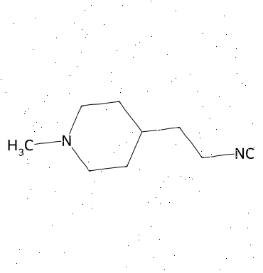 [C-]#[N+]CCC1CCN(C)CC1